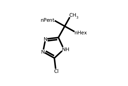 CCCCCCC(C)(CCCCC)c1nnc(Cl)[nH]1